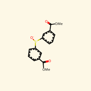 COC(=O)c1cccc([S+]([O-])c2cccc(C(=O)OC)c2)c1